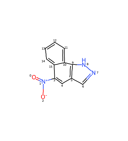 O=[N+]([O-])c1cc2cn[nH]c2c2ccccc12